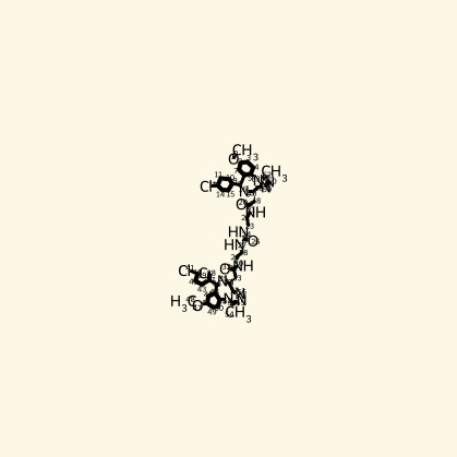 COc1ccc2c(c1)C(c1ccc(Cl)cc1)=N[C@@H](CC(=O)NCCNC(=O)NCCNC(=O)C[C@@H]1N=C(c3ccc(Cl)cc3)c3cc(OC)ccc3-n3c(C)nnc31)c1nnc(C)n1-2